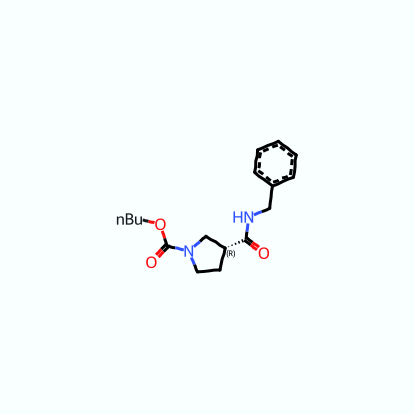 CCCCOC(=O)N1CC[C@@H](C(=O)NCc2ccccc2)C1